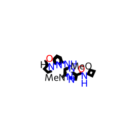 CNc1cc(Nc2ccc3c(n2)N2CCC[C@@H]2CO3)nc2c(C(=O)N[C@@H]3CC[C@H]3OC)cnn12